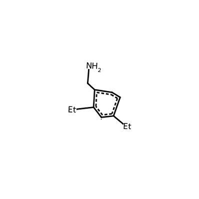 CCc1[c]c(CC)c(CN)cc1